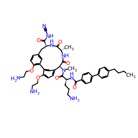 CCCCc1ccc(-c2ccc(C(=O)N[C@@H](CCCN)C(=O)N(C)[C@@H]3C(=O)N[C@@H](C)C(=O)N[C@H](C(=O)NC#N)Cc4ccc(OCCN)c(c4)-c4cc3ccc4OCCN)cc2)cc1